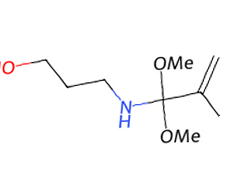 C=C(C)C(NCCCO)(OC)OC